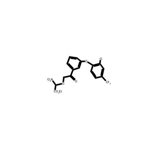 CCOC(=O)C(OCC(=O)c1cccc(Oc2ccc(C(F)(F)F)cc2Cl)c1)[N+](=O)[O-]